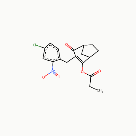 CCC(=O)OC1=C(Cc2ccc(Cl)cc2[N+](=O)[O-])C(=O)C2CCC1C2